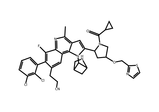 Cc1nc2c(F)c(-c3cccc(Cl)c3Cl)c(CCC#N)cc2c2c1cc(C1CC(OCc3nccs3)CN1C(=O)C1CC1)n2C1C2CNC1C2